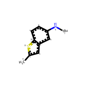 Cc1cc2cc(NC(C)(C)C)ccc2s1